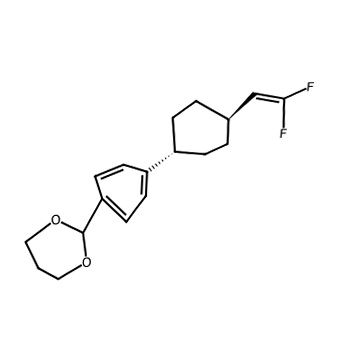 FC(F)=C[C@H]1CC[C@H](c2ccc(C3OCCCO3)cc2)CC1